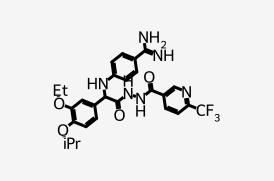 CCOc1cc(C(Nc2ccc(C(=N)N)cc2)C(=O)NNC(=O)c2ccc(C(F)(F)F)nc2)ccc1OC(C)C